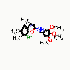 COc1cc(CNC(=O)/C=C(/C)c2cc(C)c(C)c(Br)c2)cc(OC)c1OC